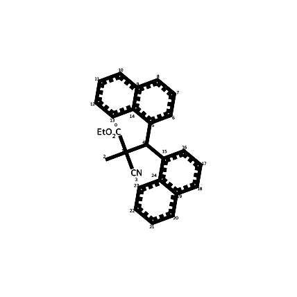 CCOC(=O)C(C)(C#N)C(c1cccc2ccccc12)c1cccc2ccccc12